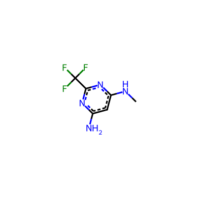 CNc1cc(N)nc(C(F)(F)F)n1